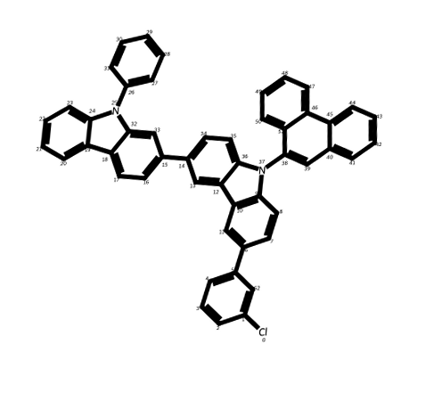 Clc1cccc(-c2ccc3c(c2)c2cc(-c4ccc5c6ccccc6n(-c6ccccc6)c5c4)ccc2n3-c2cc3ccccc3c3ccccc23)c1